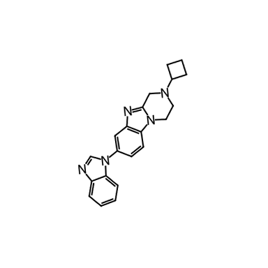 c1ccc2c(c1)ncn2-c1ccc2c(c1)nc1n2CCN(C2CCC2)C1